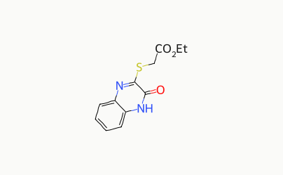 CCOC(=O)CSc1nc2ccccc2[nH]c1=O